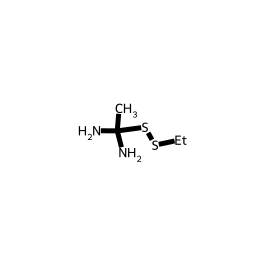 CCSSC(C)(N)N